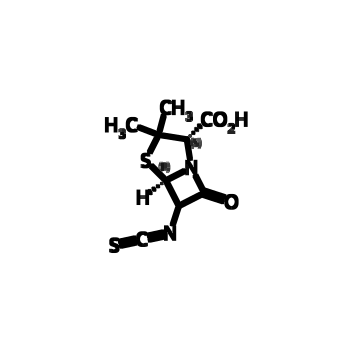 CC1(C)S[C@@H]2C(N=C=S)C(=O)N2[C@H]1C(=O)O